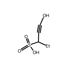 CCC(C#CO)S(=O)(=O)O